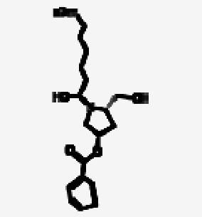 CCCCCCCCCCCCCCCC(O)N1C[C@H](OC(=O)c2ccccc2)C[C@H]1CO